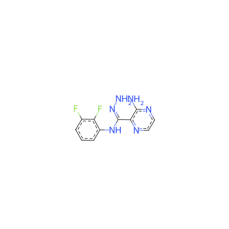 N/N=C(/Nc1cccc(F)c1F)c1nccnc1N